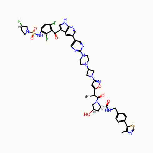 Cc1ncsc1-c1ccc(CNC(=O)[C@@H]2C[C@@H](O)CN2C(=O)C(c2cc(N3CC(N4CCN(c5ncc(-c6cnc7[nH]cc(C(=O)c8c(F)ccc(NS(=O)(=O)N9CC[C@@H](F)C9)c8F)c7c6)cn5)CC4)C3)no2)C(C)C)cc1